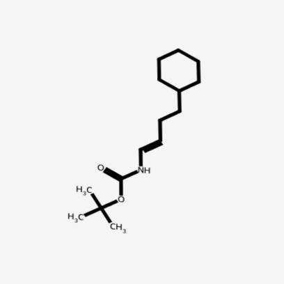 CC(C)(C)OC(=O)NC=CCCC1CCCCC1